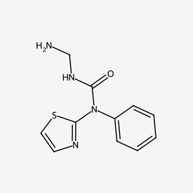 NCNC(=O)N(c1ccccc1)c1nccs1